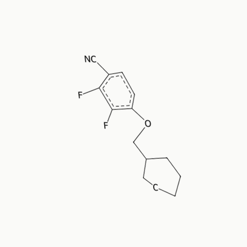 N#Cc1ccc(OCC2CCCCC2)c(F)c1F